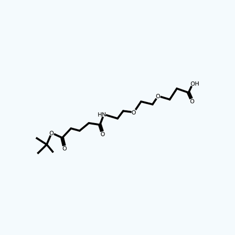 CC(C)(C)OC(=O)CCCC(=O)NCCOCCOCCC(=O)O